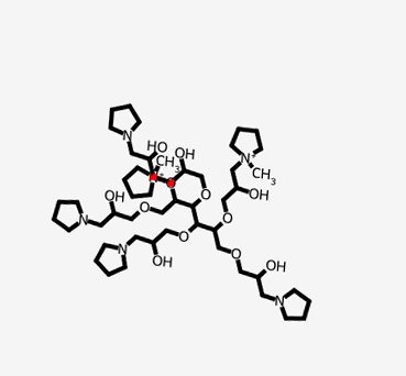 C[N+]1(CC(O)COC(COCC(O)CN2CCCC2)C(OCC(O)CN2CCCC2)C(OCC(O)C[N+]2(C)CCCC2)C(COCC(O)CN2CCCC2)OCC(O)CN2CCCC2)CCCC1